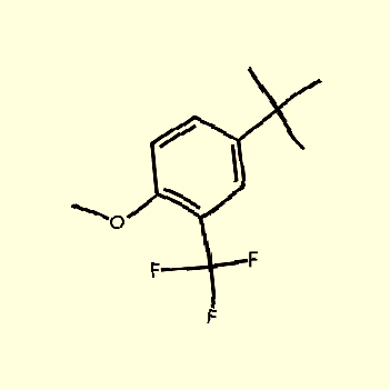 COc1ccc(C(C)(C)C)cc1C(F)(F)F